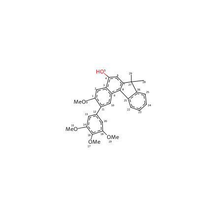 COc1cc2c(O)cc3c(c2cc1-c1cc(OC)c(OC)c(OC)c1)-c1ccccc1C3(C)C